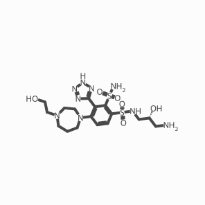 NC[C@@H](O)CNS(=O)(=O)c1ccc(N2CCCN(CCO)CC2)c(-c2nn[nH]n2)c1S(N)(=O)=O